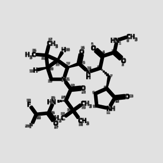 CNC(=O)C(=O)[C@H](C[C@@H]1CCNC1=O)NC(=O)[C@@H]1[C@@H]2[C@H](CN1C(=O)[C@@H](NC(=O)C(F)F)C(C)(C)C)C2(C)C